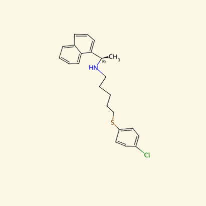 C[C@@H](NCCCCCSc1ccc(Cl)cc1)c1cccc2ccccc12